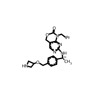 CC(C)CN1C(=O)OCc2cnc(N[C@@H](C)c3ccc(COC4CNC4)cc3)nc21